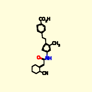 Cc1cc(NC(=O)C=C2CCCCC2C#N)ccc1CCc1ccc(C(=O)O)cc1